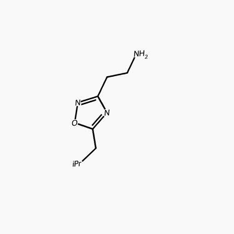 CC(C)Cc1nc(CCN)no1